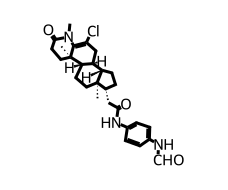 CN1C(=O)CC[C@@]2(C)C1=C(Cl)C[C@H]1[C@@H]3CC[C@H](CC(=O)Nc4ccc(NC=O)cc4)[C@@]3(C)CC[C@@H]12